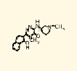 CCN1CCC[C@@H](Nc2nnc(-c3ccc4ccccc4c3O)n(C)c2=O)C1